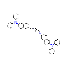 C[Si](C)(/C=C/c1ccc2cc(N(c3ccccc3)c3ccccc3)ccc2c1)/C=C/c1ccc2cc(N(c3ccccc3)c3ccccc3)ccc2c1